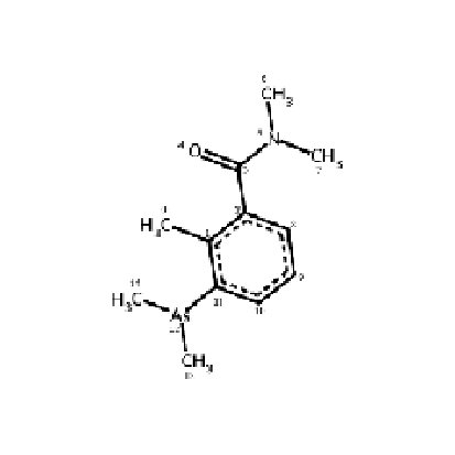 Cc1c(C(=O)N(C)C)cccc1[As](C)C